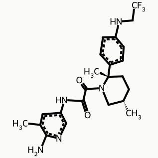 Cc1cc(NC(=O)C(=O)N2C[C@@H](C)CC[C@@]2(C)c2ccc(NCC(F)(F)F)cc2)cnc1N